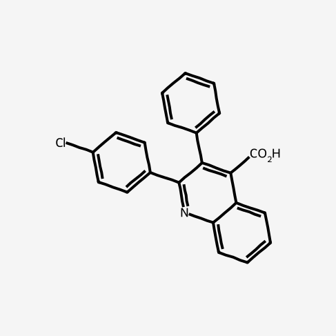 O=C(O)c1c(-c2ccccc2)c(-c2ccc(Cl)cc2)nc2ccccc12